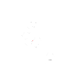 CCCCS(=O)(=O)NC(=O)[N+]1(Cc2ccc(OCc3ccc(Cl)c(Cl)c3)cc2)C(CC)=Nc2ccc(N)cc21